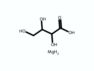 O=C(O)C(O)C(O)CO.[MgH2]